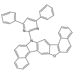 c1ccc(-c2cc(-c3ccccc3)nc(-n3c4cc5c(cc4c4c6ccccc6ccc43)oc3ccc4ccccc4c35)n2)cc1